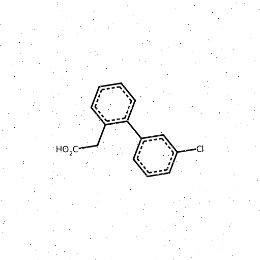 O=C(O)Cc1ccccc1-c1cccc(Cl)c1